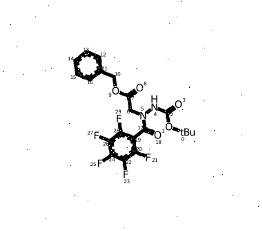 CC(C)(C)OC(=O)NN(CC(=O)OCc1ccccc1)C(=O)c1c(F)c(F)c(F)c(F)c1F